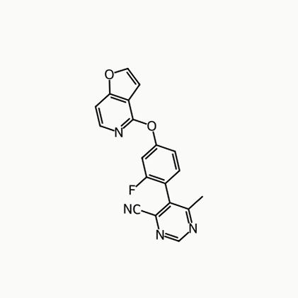 Cc1ncnc(C#N)c1-c1ccc(Oc2nccc3occc23)cc1F